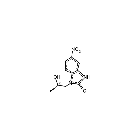 C[C@@H](O)Cn1c(=O)[nH]c2cc([N+](=O)[O-])ccc21